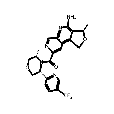 C[C@H]1OCc2c1c(N)nc1cnc(C(=O)N3[C@@H](C)COC[C@H]3c3ccc(C(F)(F)F)cn3)cc21